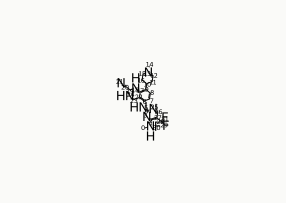 CNc1nc(Nc2ccc(C3CCN(C)CC3)c(NCC#N)c2C=N)ncc1C(F)(F)F